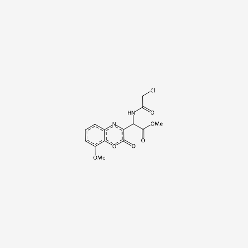 COC(=O)C(NC(=O)CCl)c1nc2cccc(OC)c2oc1=O